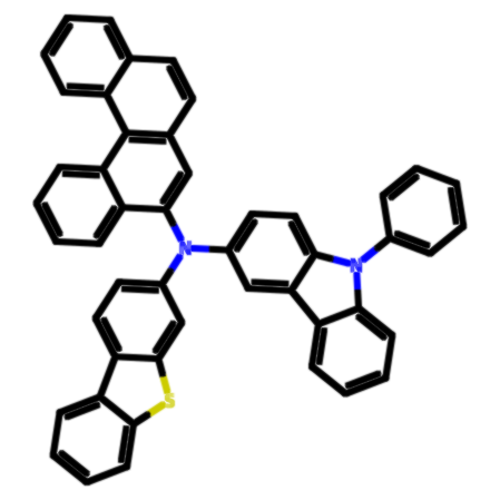 c1ccc(-n2c3ccccc3c3cc(N(c4ccc5c(c4)sc4ccccc45)c4cc5ccc6ccccc6c5c5ccccc45)ccc32)cc1